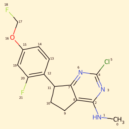 CNc1nc(Cl)nc2c1CCC2c1ccc(OCF)cc1F